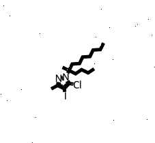 CCCCCCCC(C)(CCCC)n1nc(C)c(I)c1Cl